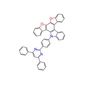 c1ccc(-c2cc(-c3ccccc3)nc(-c3ccc(-n4c5ccccc5c5c6c7ccccc7oc6c6oc7ccccc7c6c54)cc3)n2)cc1